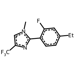 CCc1ccc(-c2nc(C(F)(F)F)cn2C)c(F)c1